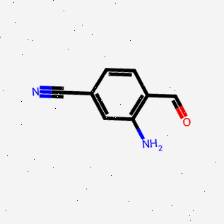 N#Cc1ccc(C=O)c(N)c1